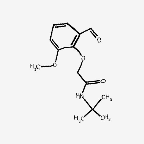 COc1cccc(C=O)c1OCC(=O)NC(C)(C)C